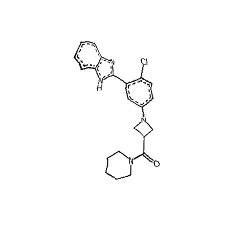 O=C(C1CN(c2ccc(Cl)c(-c3nc4ccccc4[nH]3)c2)C1)N1CCCCC1